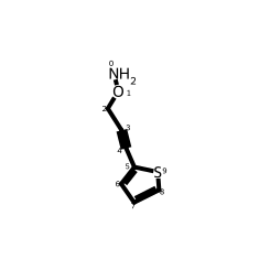 NOCC#Cc1cccs1